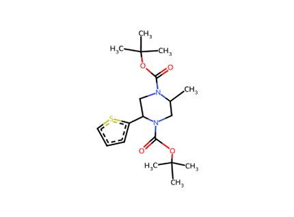 CC1CN(C(=O)OC(C)(C)C)C(c2cccs2)CN1C(=O)OC(C)(C)C